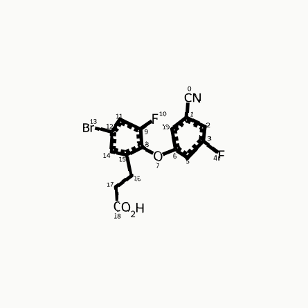 N#Cc1cc(F)cc(Oc2c(F)cc(Br)cc2CCC(=O)O)c1